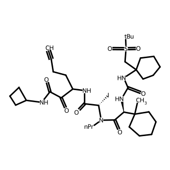 C#CCCC(NC(=O)[C@H](I)N(CCC)C(=O)[C@@H](NC(=O)NC1(CS(=O)(=O)C(C)(C)C)CCCCC1)C1(C)CCCCC1)C(=O)C(=O)NC1CCC1